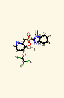 Cc1c(OC(F)C(F)F)ccnc1CS(=O)(=O)c1nc2ccccc2[nH]1